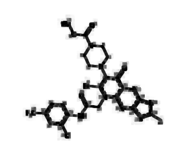 CCc1c(N2CCN(C(=O)OC(C)(C)C)CC2)c(=O)c2nc3nc(C)sc3nc2n1CC(=O)Nc1ccc(C(F)(F)F)cc1Cl